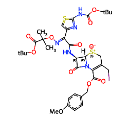 COc1ccc(COC(=O)C2=C(CI)C[S@@+]([O-])[C@@H]3[C@H](NC(=O)C(=NOC(C)(C)C(=O)OC(C)(C)C)c4csc(NC(=O)OC(C)(C)C)n4)C(=O)N23)cc1